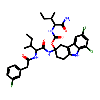 CCC(C)C(NC(=O)OC1(NC(=O)C(NC(=O)Cc2cccc(F)c2)C(C)CC)CCc2[nH]c3c(Cl)cc(Cl)cc3c2C1)C(N)=O